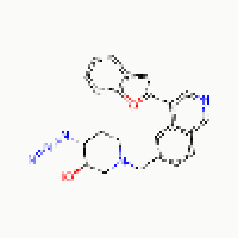 [N-]=[N+]=N[C@@H]1CCN(Cc2ccc3cncc(-c4cc5ccccc5o4)c3c2)C[C@H]1O